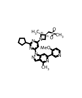 COc1ccncc1-c1cc2c(cnn2-c2cc(N3C[C@H](CS(C)(=O)=O)[C@H]3C)nc(C3CCCC3)n2)c(C)n1